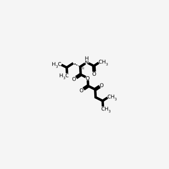 CC(=O)N[C@@H](CC(C)C)C(=O)OC(=O)C(=O)CC(C)C